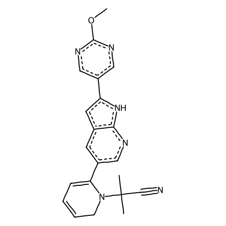 COc1ncc(-c2cc3cc(C4=CC=CCN4C(C)(C)C#N)cnc3[nH]2)cn1